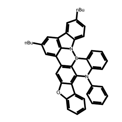 CCCCc1ccc2c(c1)c1cc(CCCC)cc3c1n2B1c2ccccc2N(c2ccccc2)c2c1c-3cc1oc3ccccc3c21